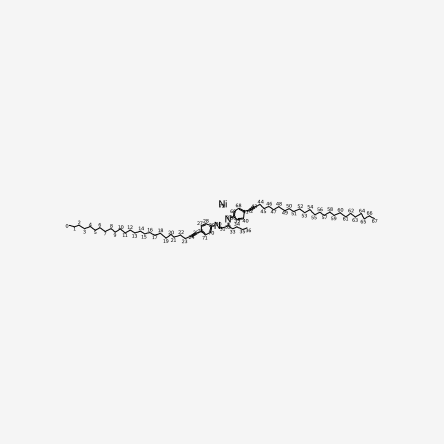 CCCCCCCCCCCCCCCCCCCCCCCCC#Cc1ccc(N=CC(CCCC)=Nc2ccc(C#CCCCCCCCCCCCCCCCCCCCCCCCC)cc2)cc1.[Ni]